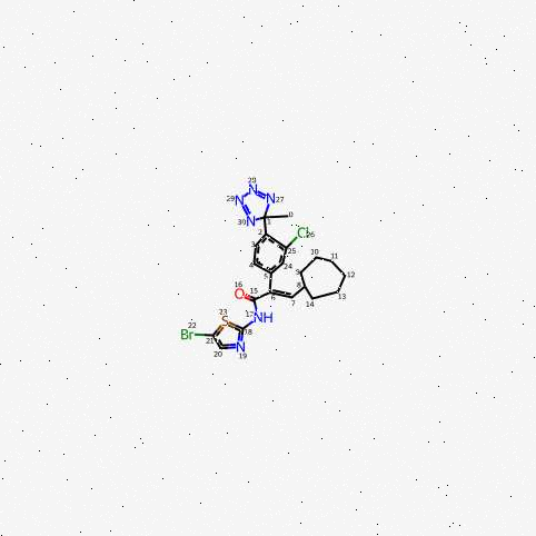 CC1(c2ccc(/C(=C\C3CCCCCC3)C(=O)Nc3ncc(Br)s3)cc2Cl)N=NN=N1